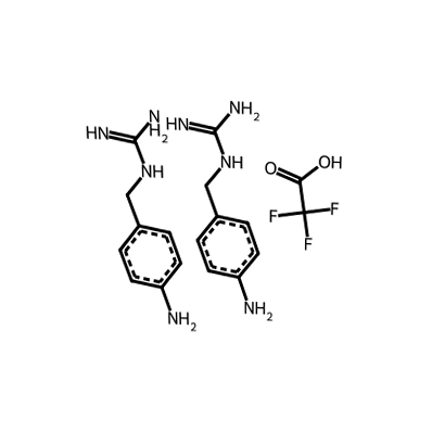 N=C(N)NCc1ccc(N)cc1.N=C(N)NCc1ccc(N)cc1.O=C(O)C(F)(F)F